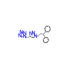 c1ccc(C(CCn2cc(Cn3cnnn3)nn2)c2ccccc2)cc1